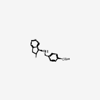 COc1ccc(CNC2c3ccccc3CC2F)cc1